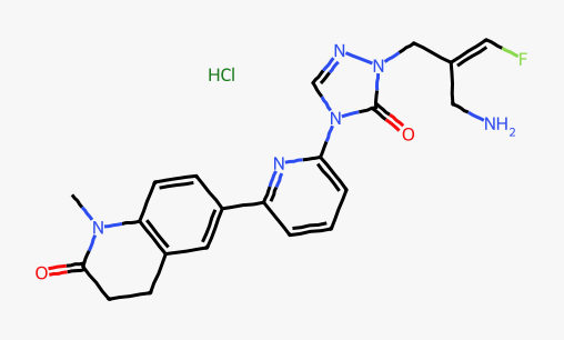 CN1C(=O)CCc2cc(-c3cccc(-n4cnn(C/C(=C/F)CN)c4=O)n3)ccc21.Cl